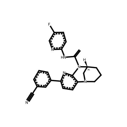 C=C(Nc1ccc(F)cn1)N1c2nc(-c3cccc(C#N)c3)ccc2N2CCC[C@@H]1C2